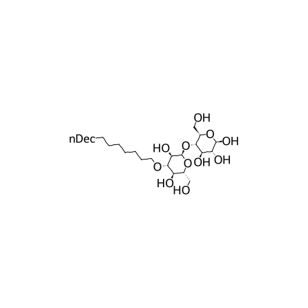 CCCCCCCCCCCCCCCCCO[C@@H]1[C@@H](O)[C@@H](O[C@H]2[C@H](O)[C@@H](O)[C@H](O)O[C@@H]2CO)O[C@H](CO)[C@H]1O